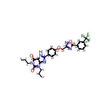 CCCn1c(=O)c2[nH]c(-c3ccc(OCc4noc(-c5cccc(C(F)(F)F)c5)n4)cc3)nc2n(CCC)c1=O